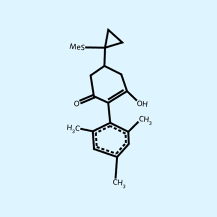 CSC1(C2CC(=O)C(c3c(C)cc(C)cc3C)=C(O)C2)CC1